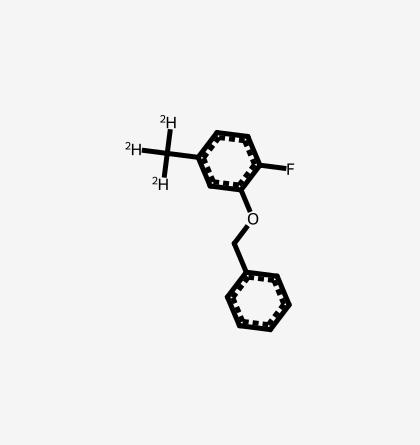 [2H]C([2H])([2H])c1ccc(F)c(OCc2ccccc2)c1